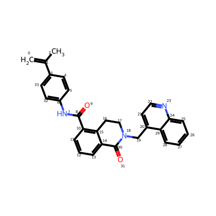 C=C(C)c1ccc(NC(=O)c2cccc3c2CCN(Cc2ccnc4ccccc24)C3=O)cc1